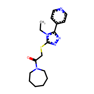 CCn1c(SCC(=O)N2CCCCCC2)nnc1-c1ccncc1